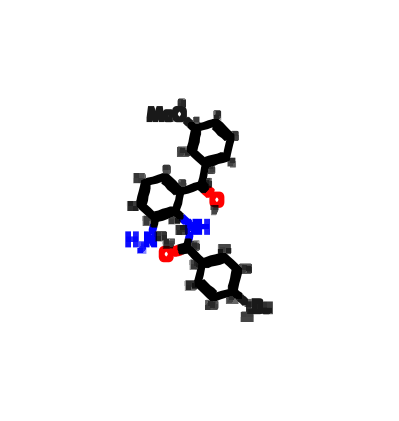 COc1cccc(C(=O)c2cccc(N)c2NC(=O)c2ccc(C(C)(C)C)cc2)c1